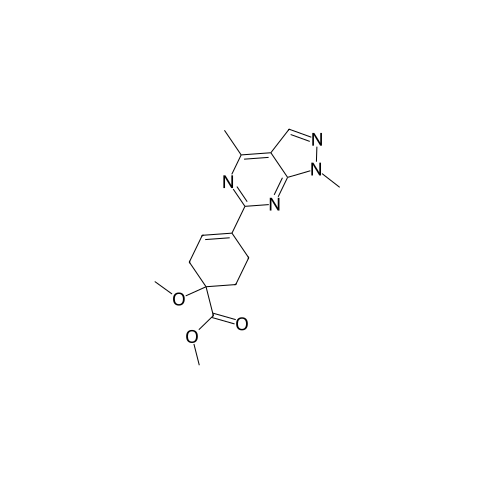 COC(=O)C1(OC)CC=C(c2nc(C)c3cnn(C)c3n2)CC1